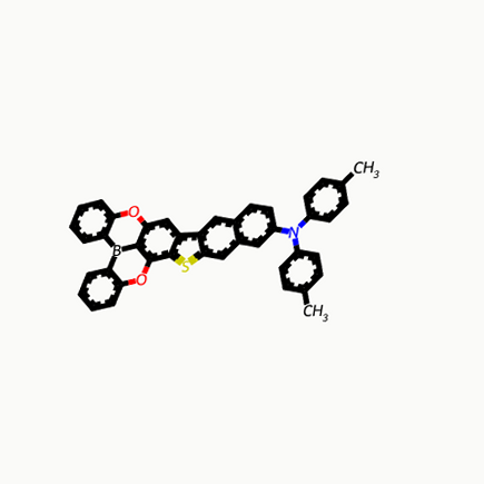 Cc1ccc(N(c2ccc(C)cc2)c2ccc3cc4c(cc3c2)sc2c3c5c(cc24)Oc2ccccc2B5c2ccccc2O3)cc1